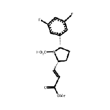 COC(=O)/C=C/[C@H]1CC[C@@H](c2cc(F)cc(F)c2)N1C(=O)O